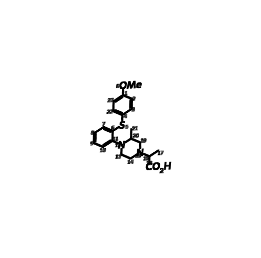 COc1ccc(Sc2ccccc2N2CCN(C(C)C(=O)O)CC2C)cc1